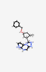 CC[C@@H]1C[C@H](OCc2ccccc2)C[C@@H]1c1nnc2cnc3[nH]ccc3n12